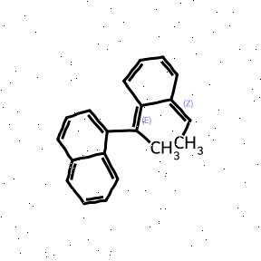 C/C=c1/cccc/c1=C(/C)c1cccc2ccccc12